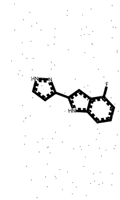 Fc1cccc2[nH]c(-c3cc[nH]n3)cc12